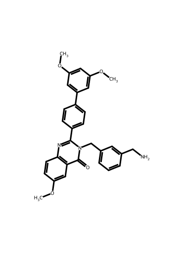 COc1cc(OC)cc(-c2ccc(-c3nc4ccc(OC)cc4c(=O)n3Cc3cccc(CN)c3)cc2)c1